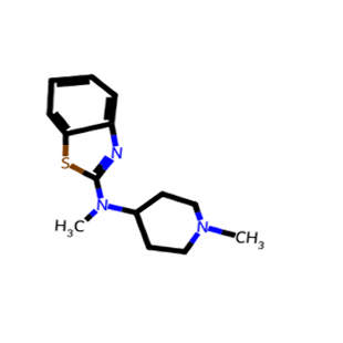 CN1CCC(N(C)c2nc3ccccc3s2)CC1